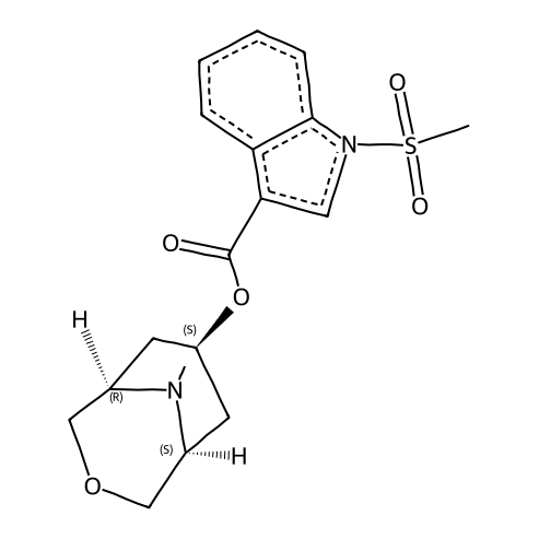 CN1[C@@H]2COC[C@H]1C[C@@H](OC(=O)c1cn(S(C)(=O)=O)c3ccccc13)C2